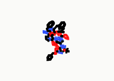 CC(C)[C@H](NC(=O)[C@H](CNC(=O)OC(C)(C)C)NC(=O)[C@H](COC(C)(C)C)NC(=O)OCc1ccccc1)C(=O)N1CCC[C@H]1C(=O)N[C@@H](Cc1ccccc1)C(=O)N[C@@H](Cc1ccccc1)C(=O)O